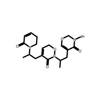 CC(C)N1COC=C(CC(C)N2OCC=C(CC(C)N3CCC=CC3=O)C2=O)C1=O